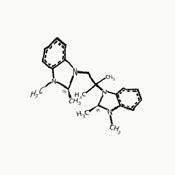 C[C@@H]1N(C)c2ccccc2N1C(C)(C)CN1c2ccccc2N(C)[C@@H]1C